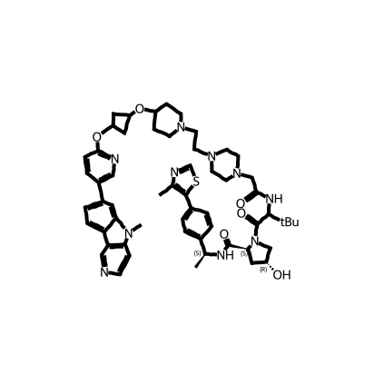 Cc1ncsc1-c1ccc([C@H](C)NC(=O)[C@@H]2C[C@@H](O)CN2C(=O)C(NC(=O)CN2CCN(CCN3CCC(OC4CC(Oc5ccc(-c6ccc7c8cnccc8n(C)c7c6)cn5)C4)CC3)CC2)C(C)(C)C)cc1